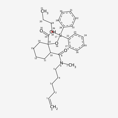 C=CCCCCN(C)C(=O)C1CCCCC1(O[Si](CCCC)(c1ccccc1)c1ccccc1)C(=O)O